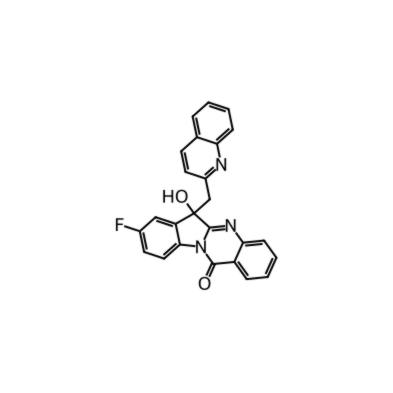 O=c1c2ccccc2nc2n1-c1ccc(F)cc1C2(O)Cc1ccc2ccccc2n1